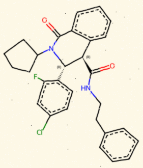 O=C(NCCc1ccccc1)[C@@H]1c2ccccc2C(=O)N(C2CCCC2)[C@H]1c1ccc(Cl)cc1F